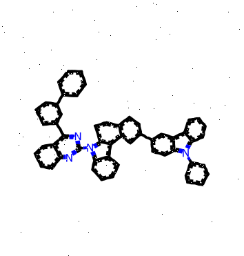 c1ccc(-c2cccc(-c3nc(-n4c5ccccc5c5c6cc(-c7ccc8c(c7)c7ccccc7n8-c7ccccc7)ccc6ccc54)nc4ccccc34)c2)cc1